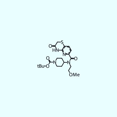 COCCN(C(=O)c1ccc2c(n1)NC(=O)CS2)C1CCN(C(=O)OC(C)(C)C)CC1